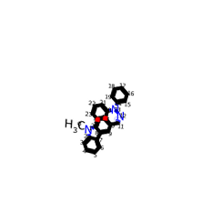 Cn1c2ccccc2c2cc(/C=N\N(c3ccccc3)c3ccccc3)ccc21